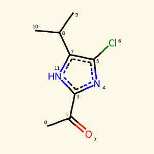 CC(=O)c1nc(Cl)c(C(C)C)[nH]1